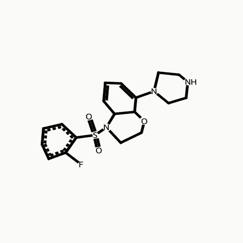 O=S(=O)(c1ccccc1F)N1CCOC2C(N3CCNCC3)=CC=CC21